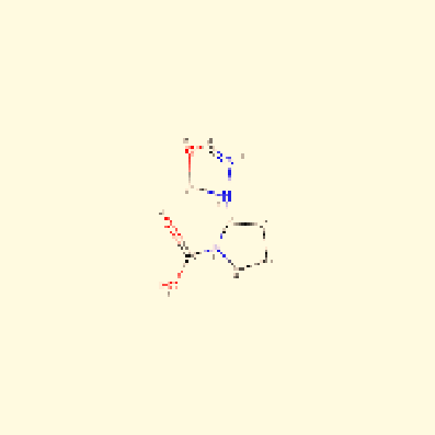 O=C(O)N1CCCC1N1COC=N1